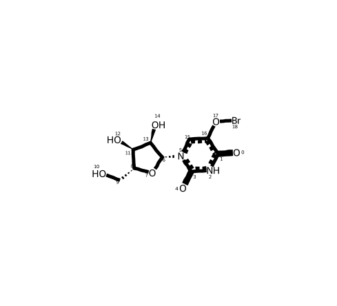 O=c1[nH]c(=O)n([C@@H]2O[C@H](CO)[C@@H](O)[C@H]2O)cc1OBr